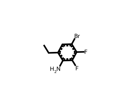 CCc1cc(Br)c(F)c(F)c1N